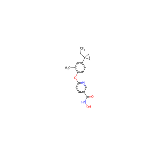 Cc1cc(C2(CC(F)(F)F)CC2)ccc1Oc1ccc(C(=O)NO)cn1